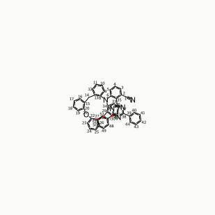 N#Cc1cccc(N2c3ccccc3Cc3ccccc3Oc3ccccc3Cc3ccccc32)c1-c1nc(-c2ccccc2)nc(-c2ccccc2)n1